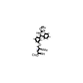 CN/C(=C\C(=N)C=O)COc1cccc(C(NC(=O)OC(C)(C)C)c2ccccc2)c1